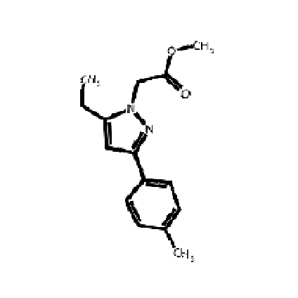 CCc1cc(-c2ccc(C)cc2)nn1CC(=O)OC